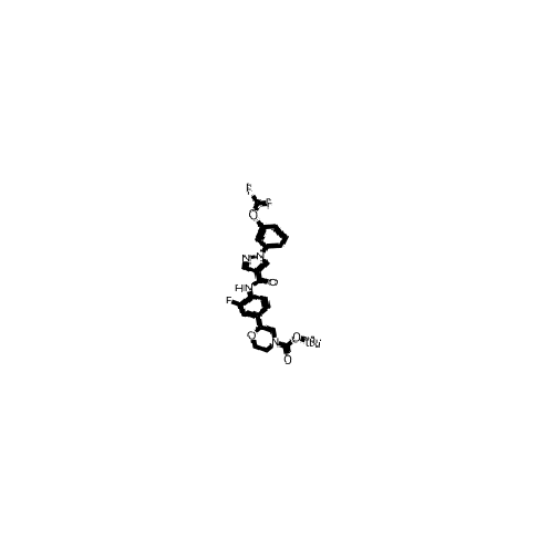 CC(C)(C)OC(=O)N1CCOC(c2ccc(NC(=O)c3cnn(-c4cccc(OC(F)F)c4)c3)c(F)c2)C1